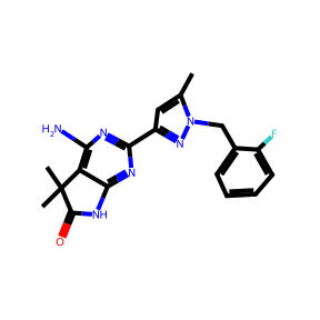 Cc1cc(-c2nc(N)c3c(n2)NC(=O)C3(C)C)nn1Cc1ccccc1F